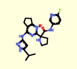 CC(C)c1cc(Nc2nc(C3(C(=O)Nc4ccc(F)nc4)CCCN3)[n+]([O-])c3c2CCC3)n[nH]1